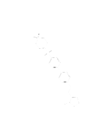 C[C@@H]1CCCN1CCc1ccc(-c2ccc(S(=O)(=O)N3CCS(=O)(=O)CC3)cc2)cc1